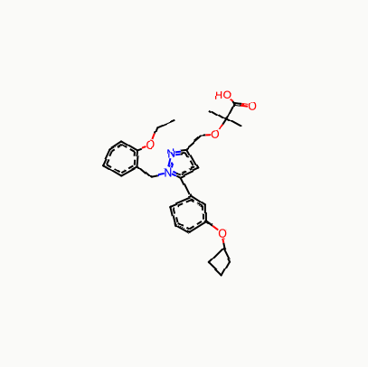 CCOc1ccccc1Cn1nc(COC(C)(C)C(=O)O)cc1-c1cccc(OC2CCC2)c1